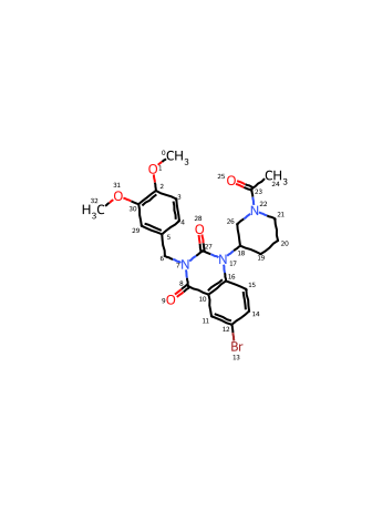 COc1ccc(Cn2c(=O)c3cc(Br)ccc3n(C3CCCN(C(C)=O)C3)c2=O)cc1OC